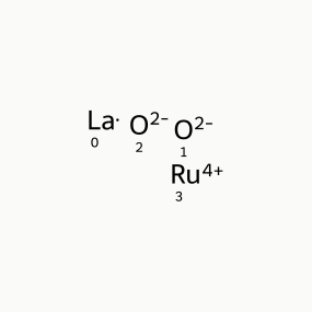 [La].[O-2].[O-2].[Ru+4]